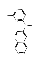 CN(c1cnc2ccccc2c1)c1ccnc(Cl)n1